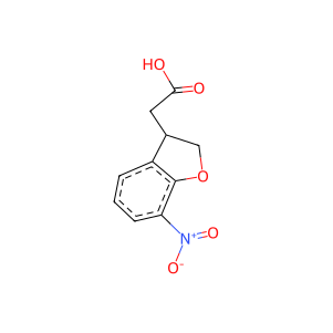 O=C(O)CC1COc2c1cccc2[N+](=O)[O-]